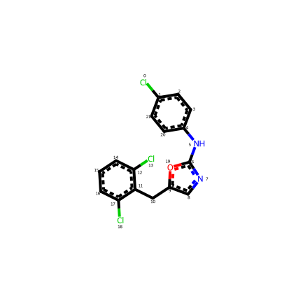 Clc1ccc(Nc2ncc(Cc3c(Cl)cccc3Cl)o2)cc1